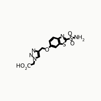 NS(=O)(=O)c1nc2ccc(OCc3cn(CC(=O)O)nn3)cc2s1